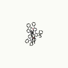 CC1(C)c2ccccc2-c2cccc(N3B4c5cccc(C(c6ccccc6)(c6ccccc6)c6ccccc6)c5Nc5cc6sc7ccccc7c6c(c54)-c4ccc(-c5ccccc5)cc43)c21